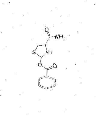 NC(=O)C1CSC(OC(=O)c2ccccc2)N1